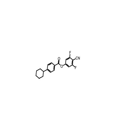 N#Cc1c(F)cc(OC(=O)c2ccc(C3CCCCC3)cc2)cc1F